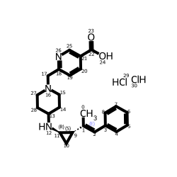 C/C(=C\c1ccccc1)[C@@H]1C[C@H]1NC1CCN(Cc2ccc(C(=O)O)cn2)CC1.Cl.Cl